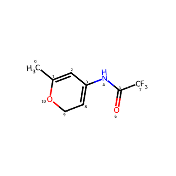 CC1=CC(NC(=O)C(F)(F)F)=C[CH]O1